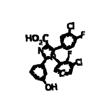 O=C(O)c1nc(-c2cccc(O)c2)n(-c2cccc(Cl)c2F)c1-c1ccc(F)c(Cl)c1